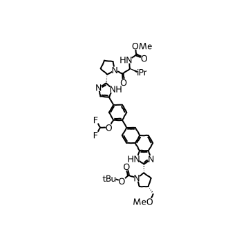 COC[C@H]1C[C@@H](c2nc3ccc4cc(-c5ccc(-c6cnc([C@@H]7CCCN7C(=O)[C@@H](NC(=O)OC)C(C)C)[nH]6)cc5OC(F)F)ccc4c3[nH]2)N(C(=O)OC(C)(C)C)C1